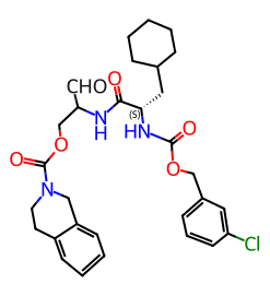 O=CC(COC(=O)N1CCc2ccccc2C1)NC(=O)[C@H](CC1CCCCC1)NC(=O)OCc1cccc(Cl)c1